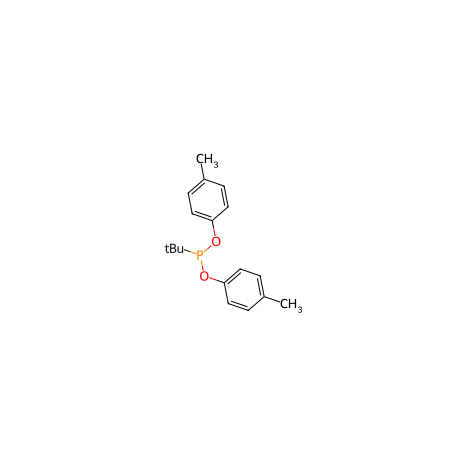 Cc1ccc(OP(Oc2ccc(C)cc2)C(C)(C)C)cc1